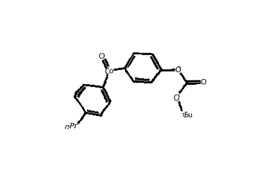 CCCc1cc[c]([Co](=[O])[c]2ccc(OC(=O)OC(C)(C)C)cc2)cc1